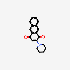 O=C1C=C(N2CCCCC2)C(=O)c2cc3ccccc3cc21